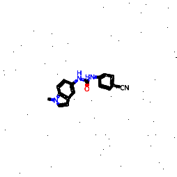 Cn1ccc2cc(NC(=O)Nc3ccc(C#N)cc3)ccc21